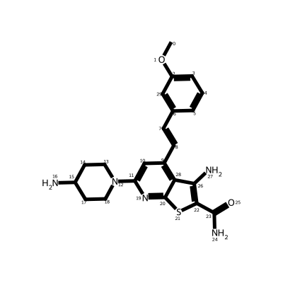 COc1cccc(C=Cc2cc(N3CCC(N)CC3)nc3sc(C(N)=O)c(N)c23)c1